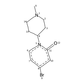 CN1CCC(n2ccc(Br)cc2=O)CC1